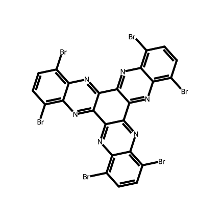 Brc1ccc(Br)c2nc3c(nc12)c1nc2c(Br)ccc(Br)c2nc1c1nc2c(Br)ccc(Br)c2nc31